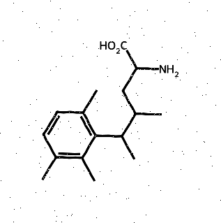 Cc1ccc(C)c(C(C)C(C)CC(N)C(=O)O)c1C